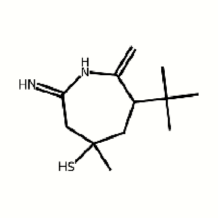 C=C1NC(=N)CC(C)(S)CC1C(C)(C)C